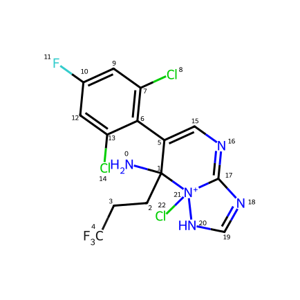 NC1(CCC(F)(F)F)C(c2c(Cl)cc(F)cc2Cl)=CN=C2N=CN[N+]21Cl